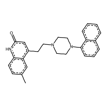 Cc1ccc2[nH]c(=O)cc(CCN3CCN(c4cccc5ccccc45)CC3)c2c1